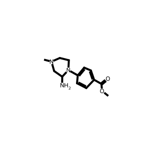 COC(=O)c1ccc(N2CCN(C)CC2N)cc1